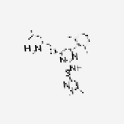 Cc1cccc(C)c1-c1cc(OCC(N)CC(C)C)nc(NSc2cc(C)n(C)n2)n1